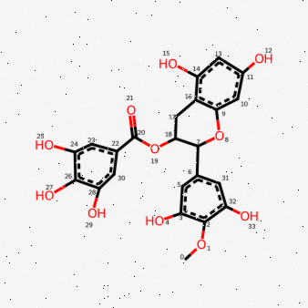 COc1c(O)cc(C2Oc3cc(O)cc(O)c3CC2OC(=O)c2cc(O)c(O)c(O)c2)cc1O